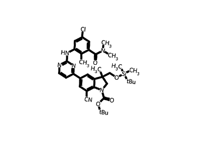 Cc1c(Nc2nccc(-c3cc(C#N)c4c(c3)C(C)(CO[Si](C)(C)C(C)(C)C)CN4C(=O)OC(C)(C)C)n2)cc(Cl)cc1C(=O)N(C)C